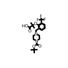 CC(C)(C)OC(=O)N1CCN(Cc2cccc(C(F)(F)F)c2OC(C)(C)C(=O)O)CC1